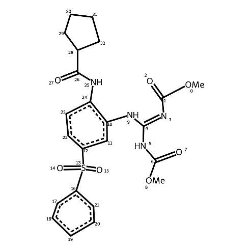 COC(=O)N=C(NC(=O)OC)Nc1cc(S(=O)(=O)c2ccccc2)ccc1NC(=O)C1CCCC1